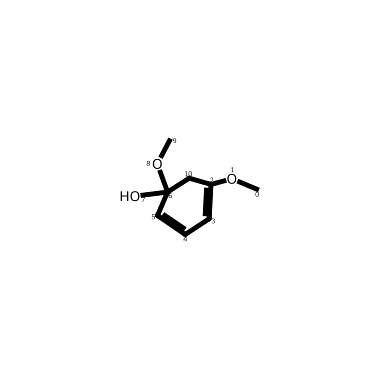 COC1=CC=CC(O)(OC)C1